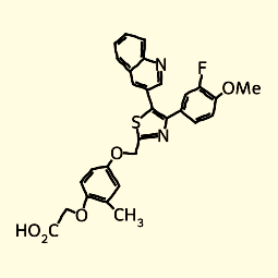 COc1ccc(-c2nc(COc3ccc(OCC(=O)O)c(C)c3)sc2-c2cnc3ccccc3c2)cc1F